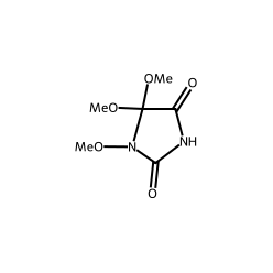 CON1C(=O)NC(=O)C1(OC)OC